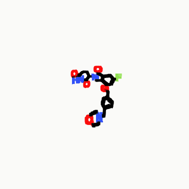 O=C1CCC(N2Cc3c(OCc4ccc(CN5CCOCC5)cc4)cc(F)cc3C2=O)C(=O)N1